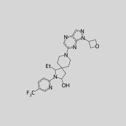 CCC1N(c2ccc(C(F)(F)F)cn2)C(O)CC12CCN(c1cnc3cnn(C4COC4)c3n1)CC2